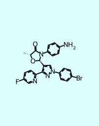 C[C@H]1O[C@H](c2cn(-c3ccc(Br)cc3)nc2-c2ccc(F)cn2)N(c2ccc(N)cc2)C1=O